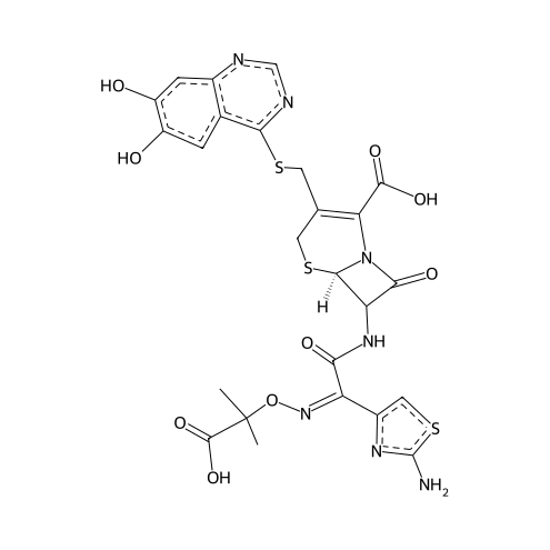 CC(C)(O/N=C(\C(=O)NC1C(=O)N2C(C(=O)O)=C(CSc3ncnc4cc(O)c(O)cc34)CS[C@H]12)c1csc(N)n1)C(=O)O